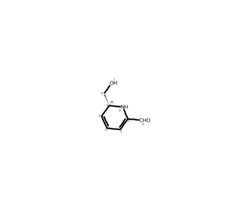 O=CC1=CC=C[C@H](CO)N1